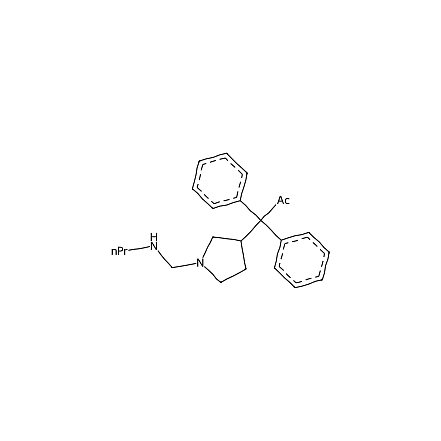 CCCNCN1CCC(C(C(C)=O)(c2ccccc2)c2ccccc2)C1